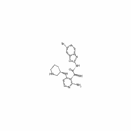 N=C(C(=O)Nc1nc2ccc(Br)cc2o1)c1c(N[C@@H]2CCCNC2)ccnc1N